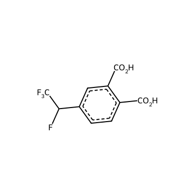 O=C(O)c1ccc(C(F)C(F)(F)F)cc1C(=O)O